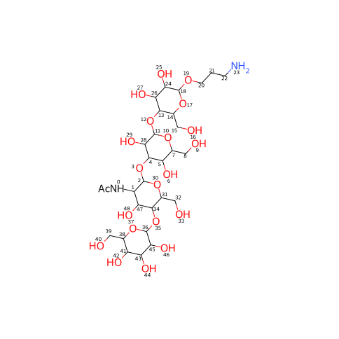 CC(=O)NC1C(OC2C(O)C(CO)OC(OC3C(CO)OC(OCCCN)C(O)C3O)C2O)OC(CO)C(OC2OC(CO)C(O)C(O)C2O)C1O